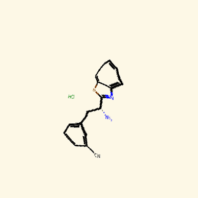 Cl.N#Cc1cccc(C[C@@H](N)c2nc3ccccc3s2)c1